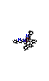 c1ccc(-c2ccc(-c3cc(C4c5ccccc5-c5ccc6c(c54)C(c4ccccc4)c4ccccc4-6)cc(-c4ccc(-c5ccccc5)nc4)n3)cn2)cc1